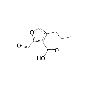 CCCc1coc(C=O)c1C(=O)O